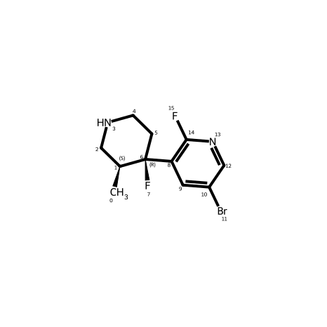 C[C@H]1CNCC[C@]1(F)c1cc(Br)cnc1F